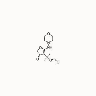 CC(C)(OC=O)C1=C(NN2CCOCC2)OCC1=O